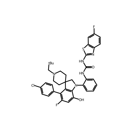 CC(C)(C)CN1CCC2(CC1)CN(c1ccccc1NC(=O)Nc1nc3ccc(F)cc3s1)c1c(O)cc(F)c(-c3ccc(Cl)cc3)c12